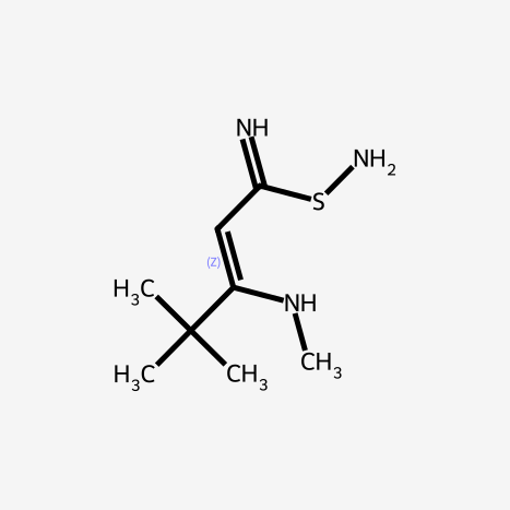 CN/C(=C\C(=N)SN)C(C)(C)C